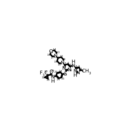 Cc1cc(Nc2cc(N3CCC(N4CCOCC4)CC3)nc(Sc3ccc(NC(=O)C4(C(F)(F)F)CC4)cc3)n2)[nH]n1